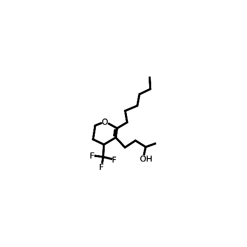 CCCCCCC1=C(CCC(C)O)C(C(F)(F)F)CCO1